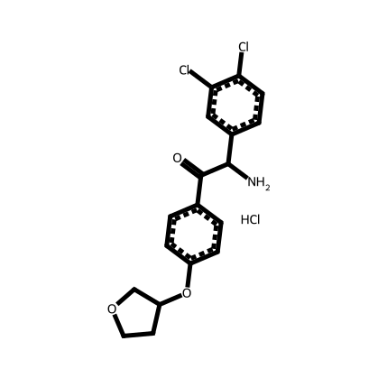 Cl.NC(C(=O)c1ccc(OC2CCOC2)cc1)c1ccc(Cl)c(Cl)c1